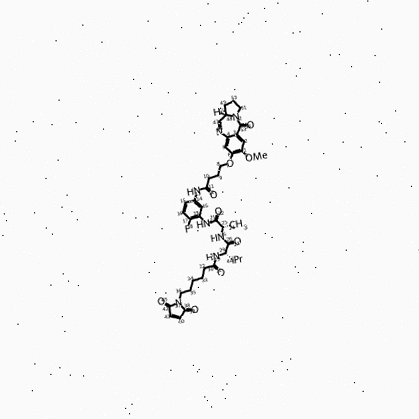 COc1cc2c(cc1OCCCC(=O)Nc1ccc(F)c(NC(=O)[C@H](C)NC(=O)[C@@H](NC(=O)CCCCCN3C(=O)C=CC3=O)C(C)C)c1)N=C[C@@H]1CCCN1C2=O